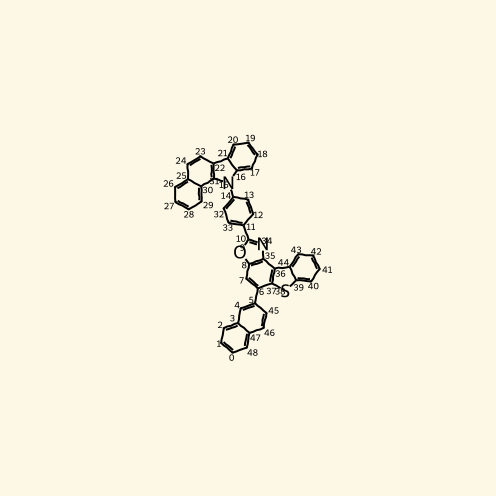 c1ccc2cc(-c3cc4oc(-c5ccc(-n6c7ccccc7c7ccc8ccccc8c76)cc5)nc4c4c3sc3ccccc34)ccc2c1